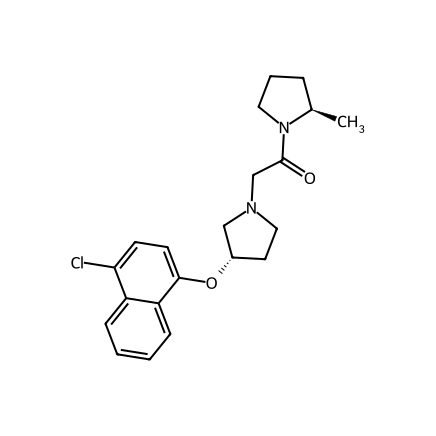 C[C@@H]1CCCN1C(=O)CN1CC[C@H](Oc2ccc(Cl)c3ccccc23)C1